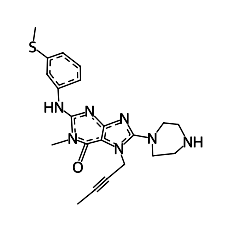 CC#CCn1c(N2CCNCC2)nc2nc(Nc3cccc(SC)c3)n(C)c(=O)c21